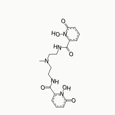 CN(CCNC(=O)c1cccc(=O)n1O)CCNC(=O)c1cccc(=O)n1O